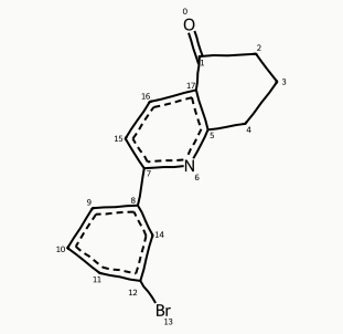 O=C1CCCc2nc(-c3cccc(Br)c3)ccc21